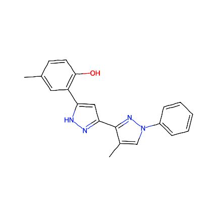 Cc1ccc(O)c(-c2cc(-c3nn(-c4ccccc4)cc3C)n[nH]2)c1